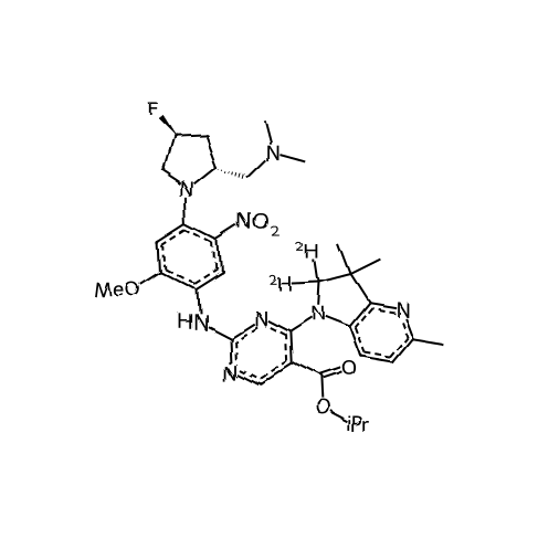 [2H]C1([2H])N(c2nc(Nc3cc([N+](=O)[O-])c(N4C[C@@H](F)C[C@@H]4CN(C)C)cc3OC)ncc2C(=O)OC(C)C)c2ccc(C)nc2C1(C)C